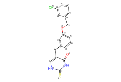 O=c1[nH]c(=S)[nH]cc1Cc1cccc(OCc2cccc(Cl)c2)c1